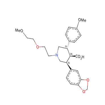 COCCOCCN1C[C@H](c2ccc(OC)cc2)[C@@H](C(=O)O)[C@@H](c2ccc3c(c2)OCO3)C1